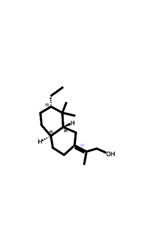 CC[C@H]1CC[C@@H]2CC/C(=C(\C)CO)C[C@H]2C1(C)C